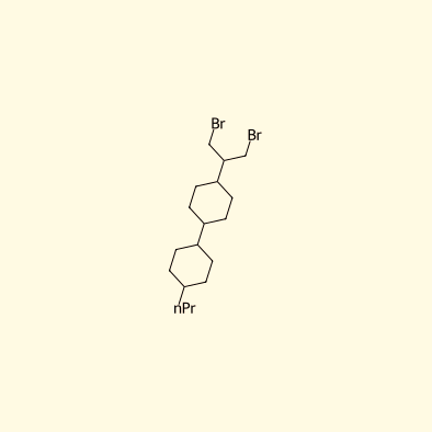 CCCC1CCC(C2CCC(C(CBr)CBr)CC2)CC1